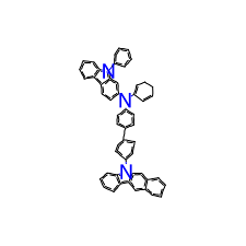 C1=CC(N(c2ccc(-c3ccc(-n4c5ccccc5c5cc6ccccc6cc54)cc3)cc2)c2ccc3c4ccccc4n(-c4ccccc4)c3c2)=CCC1